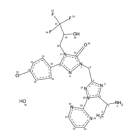 CC(N)c1nc(Cn2nc(-c3ccc(Cl)cc3)n(CC(O)C(F)(F)F)c2=O)nn1-c1ncccn1.Cl